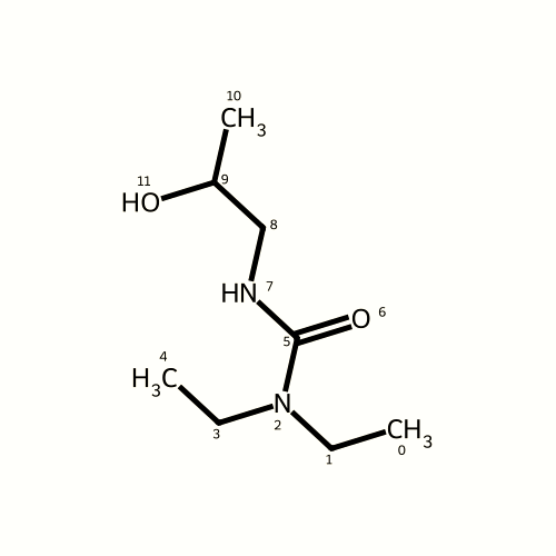 CCN(CC)C(=O)NCC(C)O